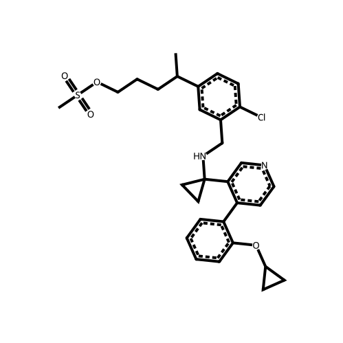 CC(CCCOS(C)(=O)=O)c1ccc(Cl)c(CNC2(c3cnccc3-c3ccccc3OC3CC3)CC2)c1